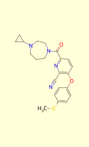 CSc1ccc(Oc2ccc(C(=O)N3CCCN(C4CC4)CC3)nc2C#N)cc1